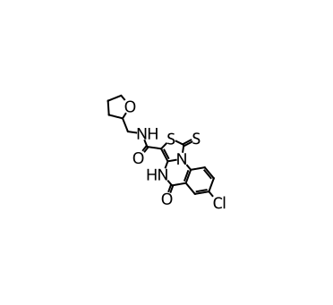 O=C(NCC1CCCO1)c1sc(=S)n2c1[nH]c(=O)c1cc(Cl)ccc12